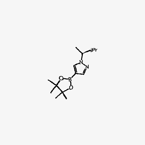 CC(C)[C@H](C)n1cc(B2OC(C)(C)C(C)(C)O2)cn1